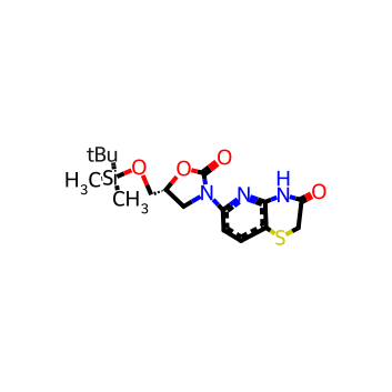 CC(C)(C)[Si](C)(C)OC[C@H]1CN(c2ccc3c(n2)NC(=O)CS3)C(=O)O1